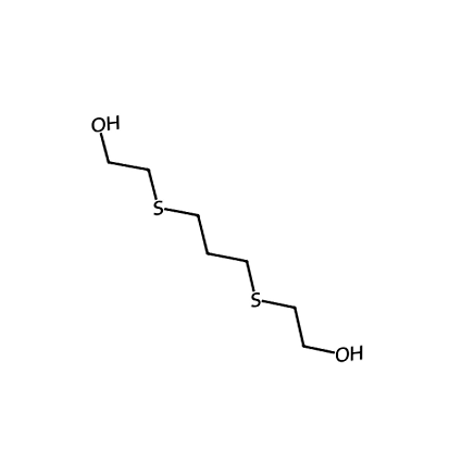 OCCSCCCSCCO